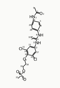 CC(=O)Nc1ccc(NC(=S)Nc2cc(Cl)c(OCCOS(C)(=O)=O)c(Cl)c2)cc1